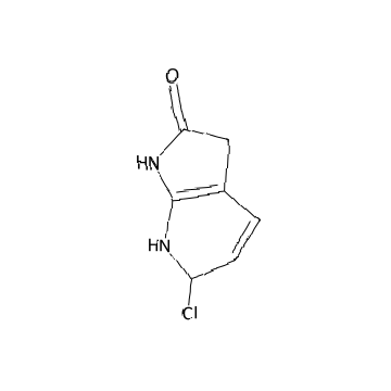 O=C1CC2=C(N1)NC(Cl)C=C2